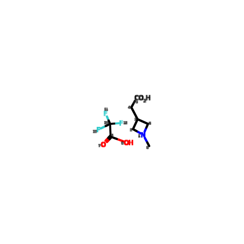 CN1CC(CC(=O)O)C1.O=C(O)C(F)(F)F